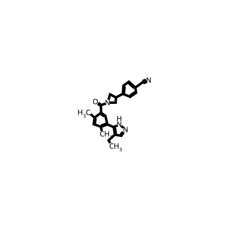 CCc1cn[nH]c1-c1cc(C(=O)N2CC(c3ccc(C#N)cc3)C2)c(C)cc1C